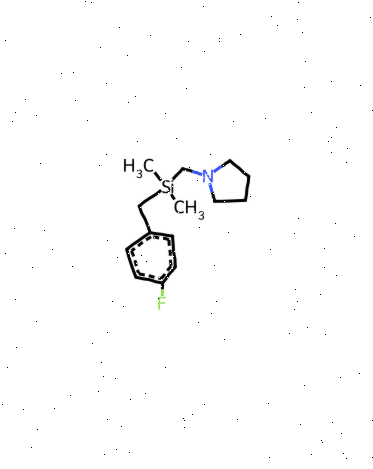 C[Si](C)(Cc1ccc(F)cc1)CN1CCCC1